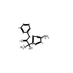 CCC(N)(C(=O)Cc1ccccc1)c1ccc(N)cc1